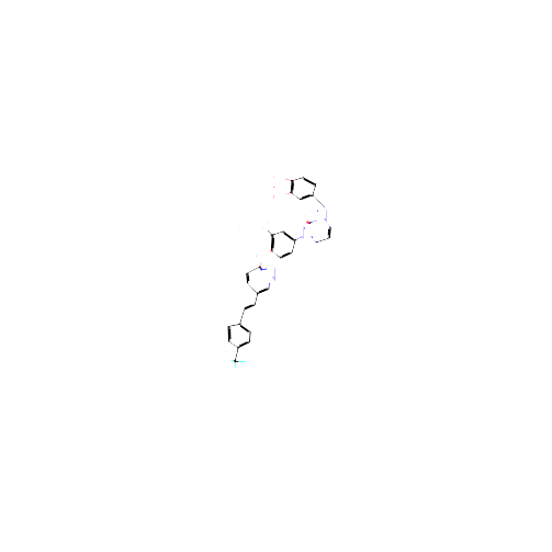 Cc1cc(N2CC=CN(Cc3ccc4c(c3)OCO4)C2=O)ccc1Oc1ccc(C=Cc2ccc(C(F)(F)F)cc2)cn1